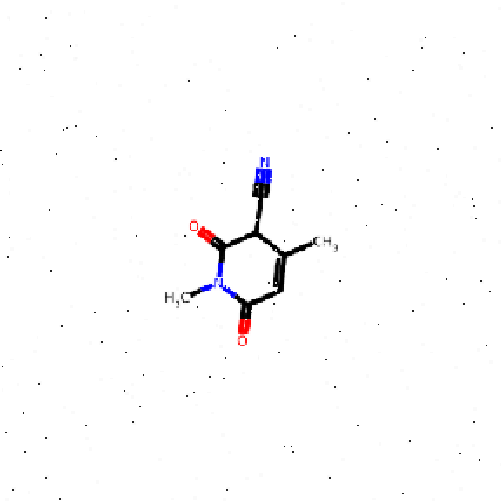 CC1=CC(=O)N(C)C(=O)C1C#N